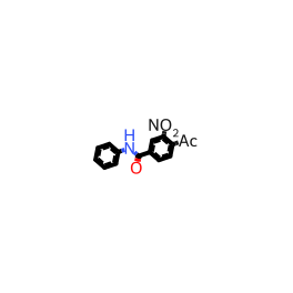 CC(=O)c1ccc(C(=O)Nc2ccccc2)cc1[N+](=O)[O-]